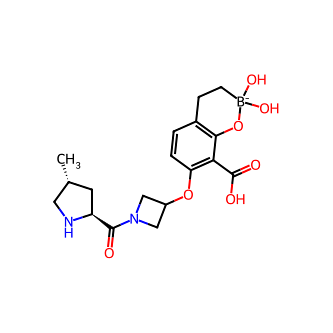 C[C@H]1CN[C@H](C(=O)N2CC(Oc3ccc4c(c3C(=O)O)O[B-](O)(O)CC4)C2)C1